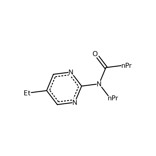 CCCC(=O)N(CCC)c1ncc(CC)cn1